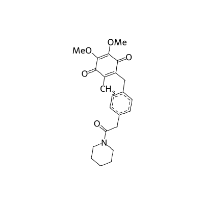 COC1=C(OC)C(=O)C(Cc2ccc(CC(=O)N3CCCCC3)cc2)=C(C)C1=O